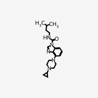 CC(C)CCNC(=O)n1cnc2c(N3CCN(C4CC4)CC3)cccc21